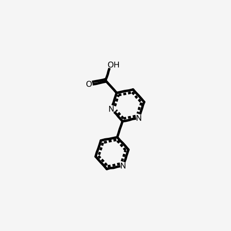 O=C(O)c1ccnc(-c2cccnc2)n1